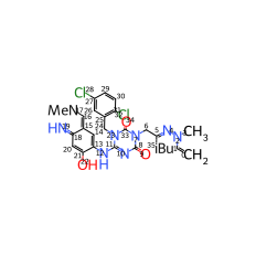 C=CN(C)/N=C(/Cn1c(=O)nc(NC2=C/C(=C/NC)C(=N)C=C2O)n(Cc2cc(Cl)ccc2Cl)c1=O)C(C)CC